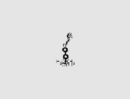 CC(C)(C(=O)O)c1ccc(-c2ccc(OCCCn3ccnn3)cc2)cc1